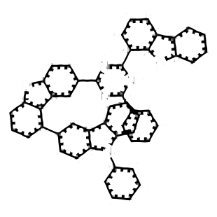 c1ccc(-c2nc(-c3ccc4oc5cccc(-c6ccc7c(c6)c6ccccc6n7-c6ccccc6)c5c4c3)nc(-c3cccc4c3oc3ccccc34)n2)cc1